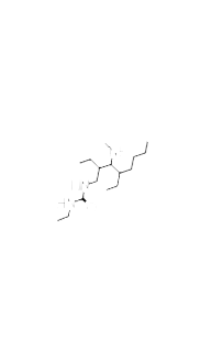 CCCCC(CC)C(NC)C(CC)CNC(=O)NCC